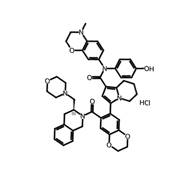 CN1CCOc2cc(N(C(=O)c3cc(-c4cc5c(cc4C(=O)N4Cc6ccccc6C[C@H]4CN4CCOCC4)OCCO5)n4c3CCCC4)c3ccc(O)cc3)ccc21.Cl